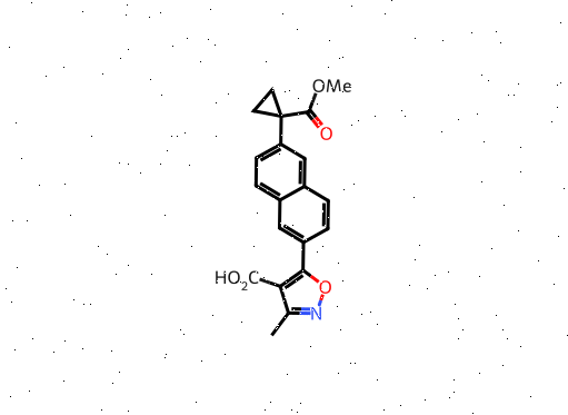 COC(=O)C1(c2ccc3cc(-c4onc(C)c4C(=O)O)ccc3c2)CC1